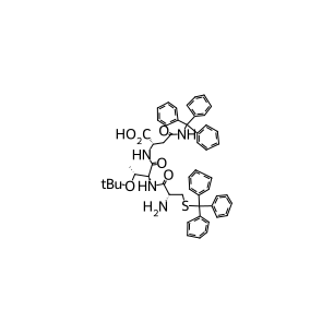 C[C@@H](OC(C)(C)C)[C@H](NC(=O)[C@@H](N)CSC(c1ccccc1)(c1ccccc1)c1ccccc1)C(=O)N[C@@H](CC(=O)NC(c1ccccc1)(c1ccccc1)c1ccccc1)C(=O)O